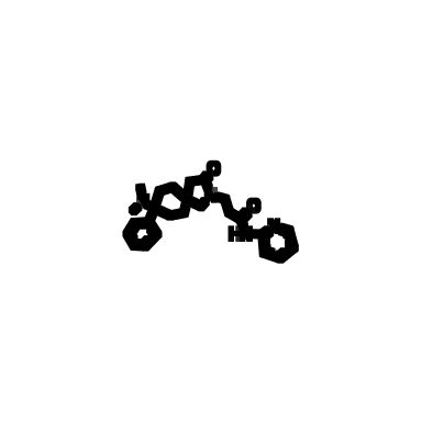 CN(C)C1(c2ccccc2)CCC2(CC1)CC(=O)N(CCC(=O)Nc1ccccn1)C2